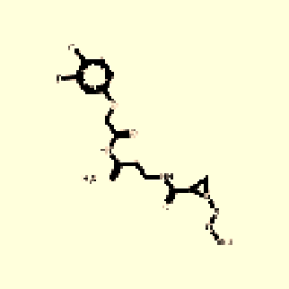 C=C(CCNC(=O)C1CN1SOCCCC)NC(=O)COc1ccc(Cl)c(F)c1.S